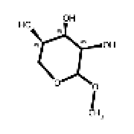 COC1OC[C@@H](O)[C@@H](O)[C@H]1O